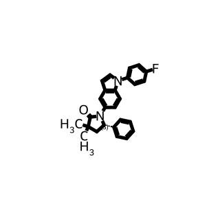 CC1(C)C[C@@H](c2ccccc2)N(c2ccc3c(ccn3-c3ccc(F)cc3)c2)C1=O